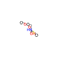 OC[C@H](CSCc1ccccc1)NCC1CCc2ccc(OCc3ccccc3)cc2O1